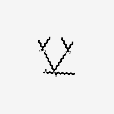 CCCCCCCCCC(=O)N(CCCN(C)C)C(CCCCCCCCCOC(=O)C(CCCC)CCCCCC)CCCCCCCCCOC(=O)C(CCCC)CCCCCC